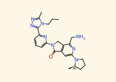 CCCn1c(C)nnc1-c1cccc(N2Cc3c(cc(N4CCC[C@H]4C)nc3CN)C2=O)n1